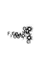 O=C(CN1CCC[C@@H]1Cn1nc(Cc2ccc(Cl)cc2)c2ccccc2c1=O)OC(=O)C(F)(F)F